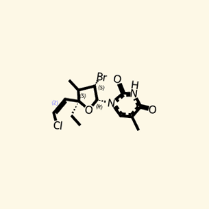 CC[C@@]1(/C=C\Cl)O[C@@H](n2cc(C)c(=O)[nH]c2=O)[C@@H](Br)C1C